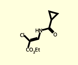 CCOC(=O)/C(Cl)=C/NC(=O)C1CC1